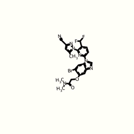 Cc1cc(C#N)nn1-c1nc(-n2cnc3cc(OCC(=O)N(C)C)c(Br)cc32)ccc1C(F)F